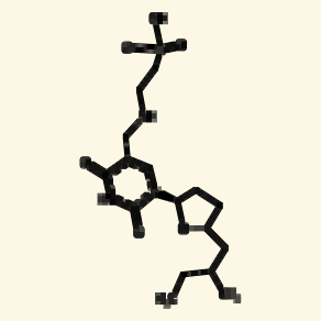 CCC(C)CC1CC[C@H](n2cc(CNCCS(=O)(=O)O)c(=O)[nH]c2=O)O1